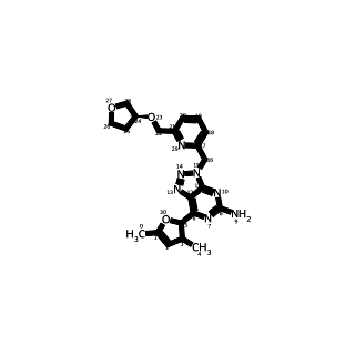 CC1=CC(C)C(c2nc(N)nc3c2nnn3Cc2cccc(CO[C@H]3CCOC3)n2)O1